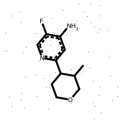 CC1COCCC1c1cc(N)c(F)cn1